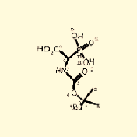 CC(C)(C)C(C)(C)OC(=O)NC(C(=O)O)P(=O)(O)O